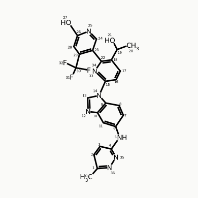 Cc1ccc(Nc2ccc3c(c2)ncn3-c2ccc(C(C)O)c(-c3cnc(O)cc3C(F)(F)F)n2)nn1